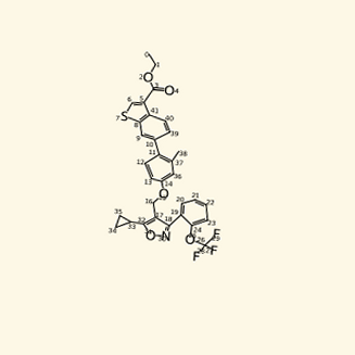 CCOC(=O)c1csc2cc(-c3ccc(OCc4c(-c5ccccc5OC(F)(F)F)noc4C4CC4)cc3C)ccc12